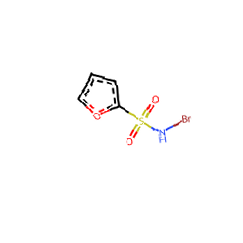 O=S(=O)(NBr)c1ccco1